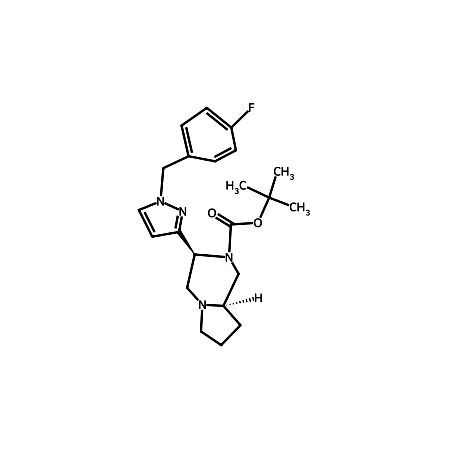 CC(C)(C)OC(=O)N1C[C@H]2CCCN2C[C@H]1c1ccn(Cc2ccc(F)cc2)n1